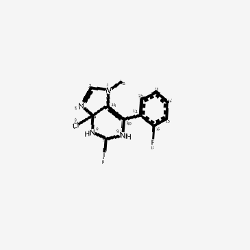 CN1C=NC2(Cl)NC(I)NC(c3ccccc3F)=C12